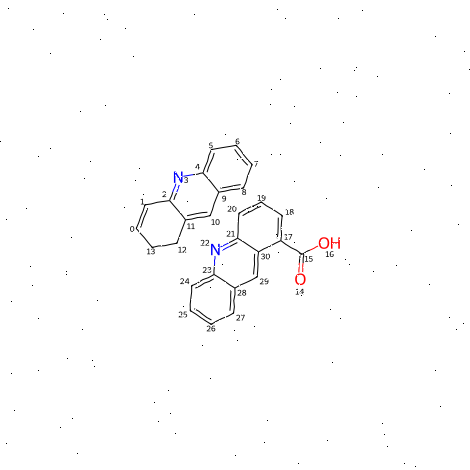 C1=Cc2nc3ccccc3cc2CC1.O=C(O)c1cccc2nc3ccccc3cc12